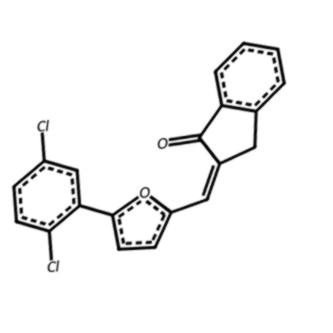 O=C1C(=Cc2ccc(-c3cc(Cl)ccc3Cl)o2)Cc2ccccc21